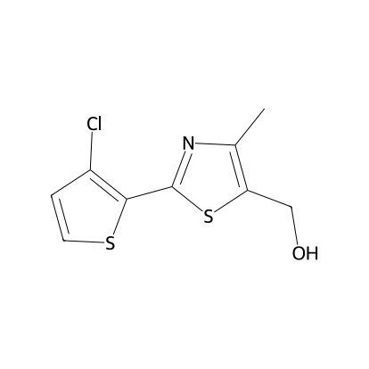 Cc1nc(-c2sccc2Cl)sc1CO